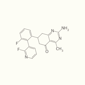 Cc1nc(N)nc2c1C(=O)CC(c1cccc(F)c1-c1cccnc1F)C2